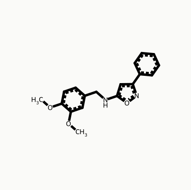 COc1ccc(CNc2cc(-c3ccccc3)no2)cc1OC